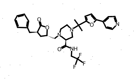 CC(C)(c1ccc(-c2ccncc2)o1)N1CCN(C[C@@H]2C[C@@H](Cc3ccccc3)C(=O)O2)[C@H](C(=O)NCC(F)(F)F)C1